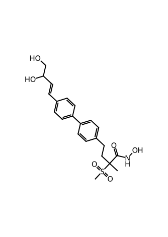 CC(CCc1ccc(-c2ccc(/C=C/C(O)CO)cc2)cc1)(C(=O)NO)S(C)(=O)=O